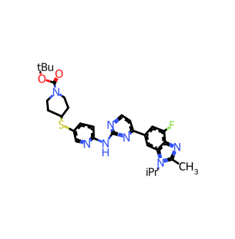 Cc1nc2c(F)cc(-c3ccnc(Nc4ccc(SC5CCN(C(=O)OC(C)(C)C)CC5)cn4)n3)cc2n1C(C)C